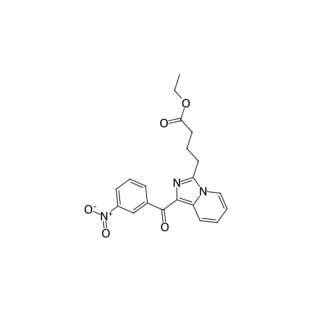 CCOC(=O)CCCc1nc(C(=O)c2cccc([N+](=O)[O-])c2)c2ccccn12